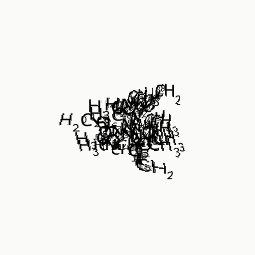 C=CCOC(=O)CN(c1nc(N(CC(=O)OCC=C)C2CC(C)(C)NC(C)(C)C2)nc(N(CC(=O)OCC=C)C2CC(C)(C)NC(C)(C)C2)n1)C1CC(C)(C)NC(C)(C)C1